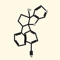 N#Cc1ccc(C23Oc4cnccc4C2(O)CCC3c2ccccc2)cc1